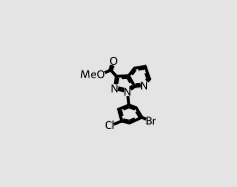 COC(=O)c1nn(-c2cc(Cl)cc(Br)c2)c2ncccc12